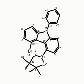 CC1(C)OB(c2cccc3c2c2c(Br)cccc2n3-c2ccccc2)OC1(C)C